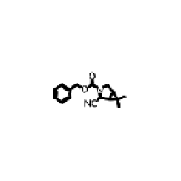 CC1(C)C2CN(C(=O)OCc3ccccc3)C(C#N)C21